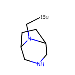 CC(C)(C)CN1C2CCC1CNC2